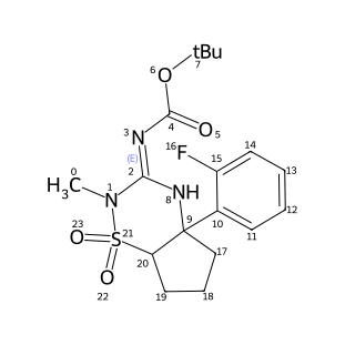 CN1/C(=N/C(=O)OC(C)(C)C)NC2(c3ccccc3F)CCCC2S1(=O)=O